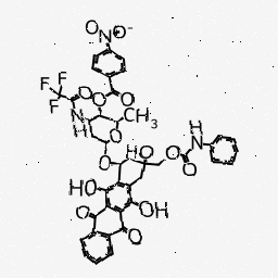 C[C@H]1O[C@@H](O[C@H]2CC(O)(COC(=O)Nc3ccccc3)Cc3c(O)c4c(c(O)c32)C(=O)c2ccccc2C4=O)C[C@H](NC(=O)C(F)(F)F)[C@H]1OC(=O)c1ccc([N+](=O)[O-])cc1